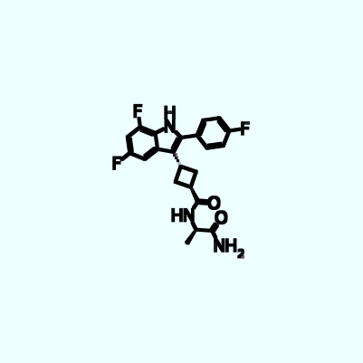 C[C@@H](NC(=O)[C@H]1C[C@H](c2c(-c3ccc(F)cc3)[nH]c3c(F)cc(F)cc32)C1)C(N)=O